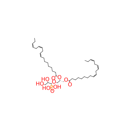 CC/C=C\C/C=C\C/C=C\CCCCCCCC(=O)OC[C@H](COC(C(O)CO)P(=O)(O)O)OC(=O)CCCCCCC/C=C\C/C=C\C/C=C\CC